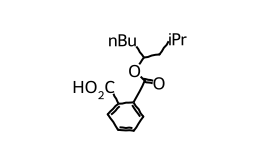 CCCCC(CC(C)C)OC(=O)c1ccccc1C(=O)O